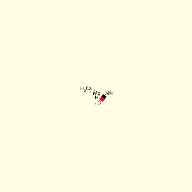 [CaH2].[MgH2].[O]=[AlH]